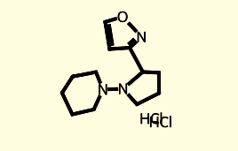 Cl.Cl.c1cc(C2CCCN2N2CCCCC2)no1